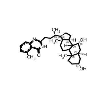 Cc1cccc2nc(CC[C@@H](C)[C@H]3CC[C@H]4[C@H]5C(CC[C@]34C)[C@@]3(C)CC[C@@H](O)C[C@H]3C[C@H]5O)[nH]c(=O)c12